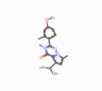 CCCC(CCC)c1cc(C)n2nc(-c3ccc(OCC)cc3C)n(C)c(=O)c12